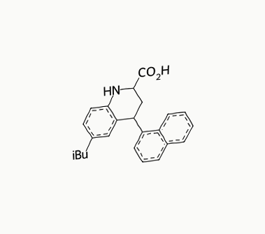 CCC(C)c1ccc2c(c1)C(c1cccc3ccccc13)CC(C(=O)O)N2